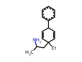 CCC1(CC(C)N)C=CC(c2ccccc2)C=C1